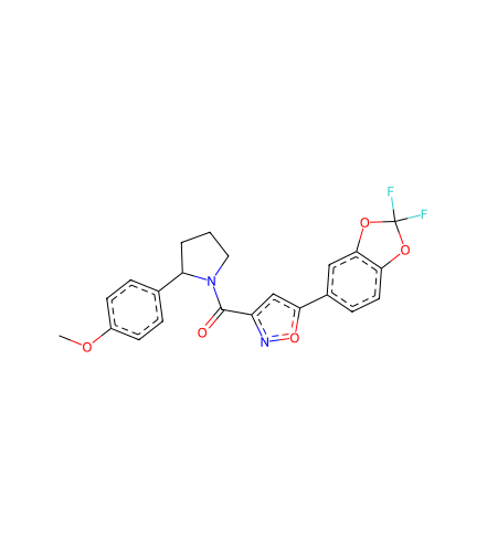 COc1ccc(C2CCCN2C(=O)c2cc(-c3ccc4c(c3)OC(F)(F)O4)on2)cc1